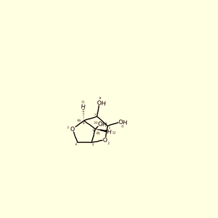 OC1OC2CO[C@@H](C1O)[C@@H]2O